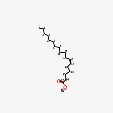 CCCCCCCCCCC/C=C\CCCCC(=O)OC